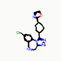 Clc1ccc2c(c1)CNCc1nnc(C3CCC(c4ncco4)CC3)n1-2